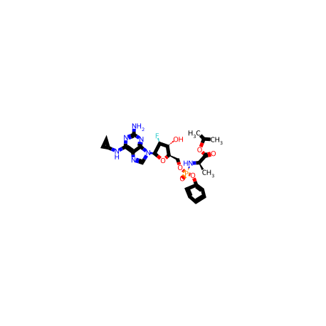 CC(C)OC(=O)[C@@H](C)N[P@](=O)(OC[C@H]1O[C@@H](n2cnc3c(NC4CC4)nc(N)nc32)[C@H](F)[C@@H]1O)Oc1ccccc1